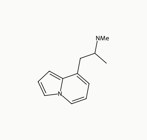 CNC(C)Cc1cccn2cccc12